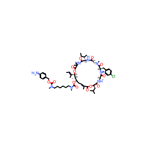 C/C=C(\C)[C@H]1OC(=O)C(C)(C)NC(=O)[C@H](C(C)CC)NC(=O)CN(C)C(=O)[C@@H](Cc2ccc(Cl)cc2)N(C)C(=O)[C@H](C)NC(=O)[C@@H](CC(C)C)OC(=O)/C(C)=C/C[C@H](OC(=O)N(C)CCCCCCN(C)C(=O)OCc2ccc(N)cc2)[C@@H]1C